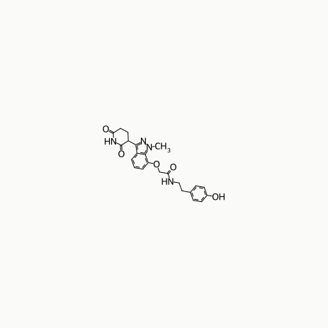 Cn1nc(C2CCC(=O)NC2=O)c2cccc(OCC(=O)NCCc3ccc(O)cc3)c21